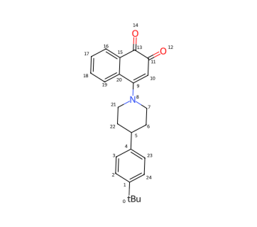 CC(C)(C)c1ccc(C2CCN(C3=CC(=O)C(=O)c4ccccc43)CC2)cc1